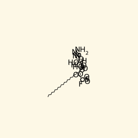 CCCCCCCCCCCCCCCCCCOC[C@H](COP(=O)(O)OC1[C@H]2O[C@@](C)(c3ccc4c(N)ncnn34)[C@H](O)[C@@]12O)OCc1cc(F)cc(S(C)(=O)=O)c1